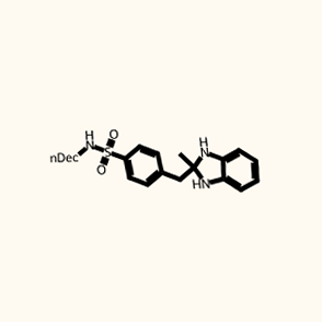 CCCCCCCCCCNS(=O)(=O)c1ccc(CC2(C)Nc3ccccc3N2)cc1